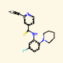 C#Cc1cc(C(=S)Nc2cc(F)ccc2N2CCCCC2)ccn1